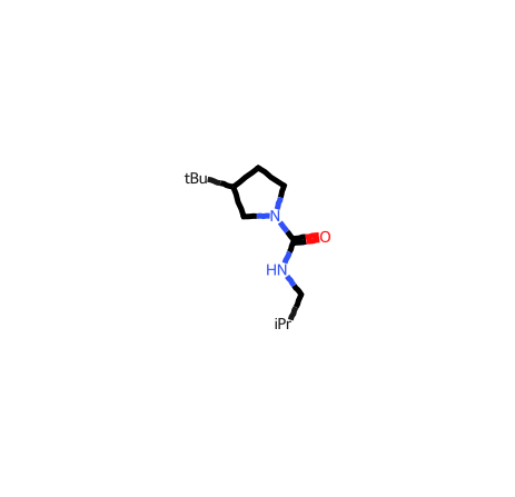 CC(C)CNC(=O)N1CCC(C(C)(C)C)C1